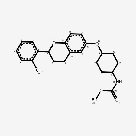 Cc1ccccc1C1CCc2cc(OC3CCC(NC(=O)OC(C)(C)C)CC3)ccc2O1